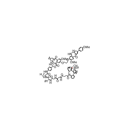 CCC(C)(C)n1nnc2c1-c1ccccc1CN(C(=O)CCC(=O)NCC(=O)NCC(=O)N[C@H](C(=O)N[C@@H](C)C(=O)Nc1ccc(COC(=O)N3c4cc(OCCCOc5cc6c(cc5OC)C(=O)N5C=C(c7ccc(OC)cc7)C[C@H]5CN6)c(OC)cc4C(=O)N4CC5(CC5)C[C@H]4[C@@H]3O)cc1)C(C)C)c1ccccc1-2